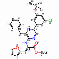 CC(C)(C)OC(=O)/C(=C/c1ccco1)Nc1ncc(-c2cc(Cl)cc(O[Si](C)(C)C(C)(C)C)c2)nc1Cc1ccccc1